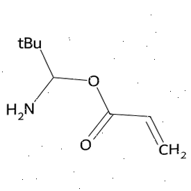 C=CC(=O)OC(N)C(C)(C)C